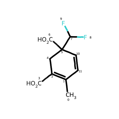 CC1=C(C(=O)O)CC(C(=O)O)(C(F)F)C=C1